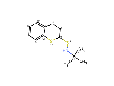 CC(C)(C)NSC1CCc2ccccc2S1